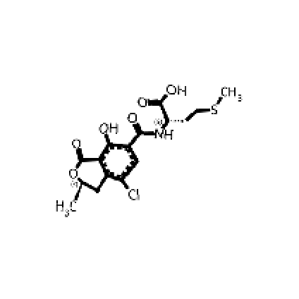 CSCC[C@H](NC(=O)c1cc(Cl)c2c(c1O)C(=O)O[C@H](C)C2)C(=O)O